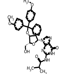 COc1ccc(C(O[C@H]2C[C@H](n3cnc4c(=O)[nH]c(NC(=O)C(C)C)nc43)O[C@@H]2CO)(c2ccccc2)c2ccc(OC)cc2)cc1